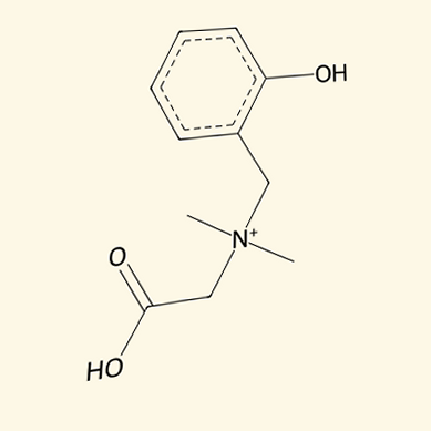 C[N+](C)(CC(=O)O)Cc1ccccc1O